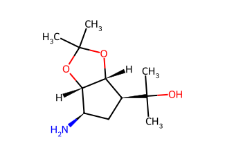 CC1(C)O[C@@H]2[C@H](O1)[C@@H](C(C)(C)O)C[C@H]2N